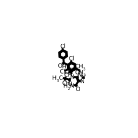 CC(C)(C)C(=O)N(C(=O)C(C)(C)C)c1c(C(N)=O)nnn1Cc1cc(Cl)c(C(=O)c2ccc(Cl)cc2)c(Cl)c1